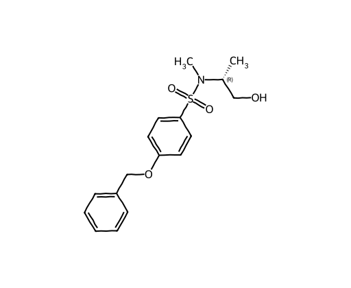 C[C@H](CO)N(C)S(=O)(=O)c1ccc(OCc2ccccc2)cc1